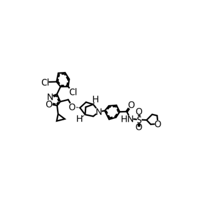 O=C(NS(=O)(=O)C1CCOC1)c1ccc(N2C[C@@H]3C[C@H]2C[C@H]3OCc2c(-c3c(Cl)cccc3Cl)noc2C2CC2)cc1